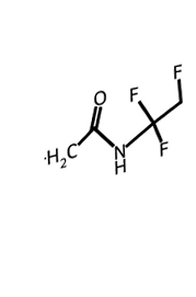 [CH2]C(=O)NC(F)(F)CF